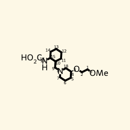 COCCO[C@@H]1CCCN(CC2CCCCC2NC(=O)O)C1